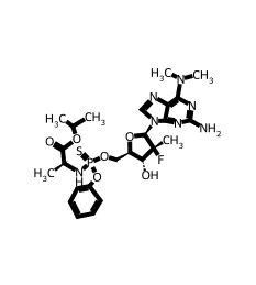 CC(C)OC(=O)[C@H](C)NP(=S)(OC[C@H]1O[C@@H](n2cnc3c(N(C)C)nc(N)nc32)[C@](C)(F)[C@@H]1O)Oc1ccccc1